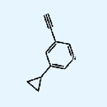 C#Cc1cncc(C2CC2)c1